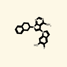 Nc1ncnc2c1c(-n1ccc3cc(F)c(O)cc31)cn2C1CCc2ccccc2C1